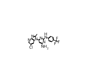 Cc1nc2ncc(Cl)cc2n1-c1cc(N)nc(Nc2ccc(C(F)(F)F)cc2)n1